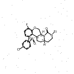 CCN1CC[C@@H]2CC[C@@]3(S(=O)(=O)c4ccc(Cl)cc4)c4c(F)ccc(F)c4OC[C@H]3N2C1=O